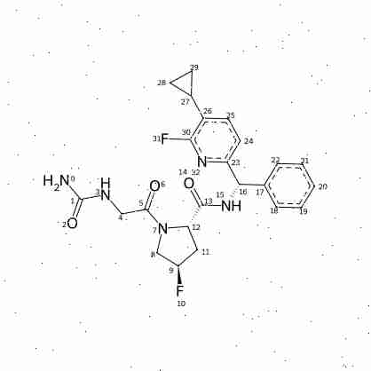 NC(=O)NCC(=O)N1C[C@H](F)C[C@H]1C(=O)N[C@@H](c1ccccc1)c1ccc(C2CC2)c(F)n1